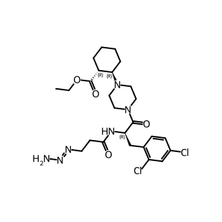 CCOC(=O)[C@@H]1CCCC[C@H]1N1CCN(C(=O)[C@@H](Cc2ccc(Cl)cc2Cl)NC(=O)CCN=NN)CC1